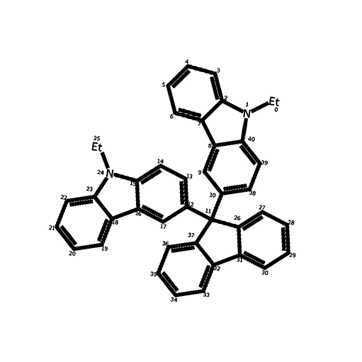 CCn1c2ccccc2c2cc(C3(c4ccc5c(c4)c4ccccc4n5CC)c4ccccc4-c4ccccc43)ccc21